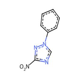 O=[N+]([O-])c1ncn(-c2ccccc2)n1